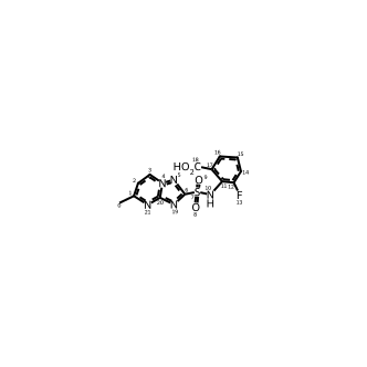 Cc1ccn2nc(S(=O)(=O)Nc3c(F)cccc3C(=O)O)nc2n1